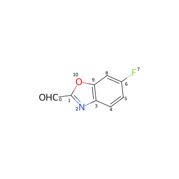 O=Cc1nc2ccc(F)cc2o1